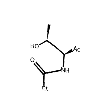 CCC(=O)N[C@H](C(C)=O)[C@H](C)O